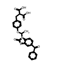 CC(Oc1ccc(CC(C(=O)O)C(=O)O)cc1)n1c(=O)sc2cc(C(=O)c3ccccc3)ccc21